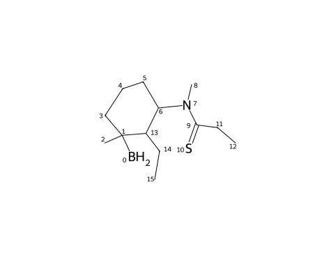 BC1(C)CCCC(N(C)C(=S)CC)C1CC